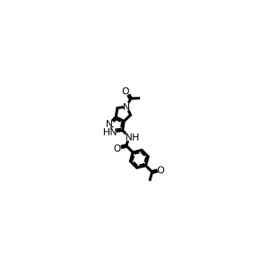 CC(=O)c1ccc(C(=O)Nc2[nH]nc3c2CN(C(C)=O)C3)cc1